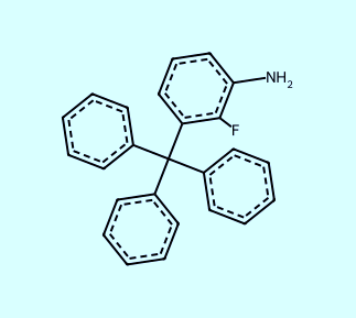 Nc1cccc(C(c2ccccc2)(c2ccccc2)c2ccccc2)c1F